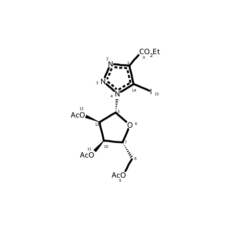 CCOC(=O)c1nnn([C@@H]2O[C@H](COC(C)=O)[C@@H](OC(C)=O)[C@H]2OC(C)=O)c1I